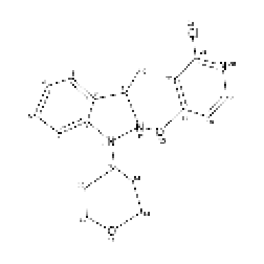 CC1c2ccccc2N(C2CCOCC2)N1Oc1ccnc(Cl)c1